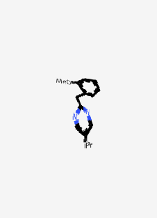 COc1ccccc1Cc1ncc(C(C)C)cn1